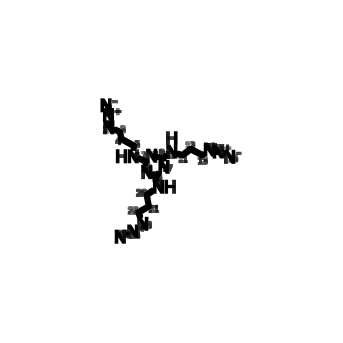 [N-]=[N+]=NCCCNc1nc(NCCCN=[N+]=[N-])nc(NCCCN=[N+]=[N-])n1